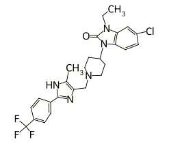 CCn1c(=O)n(C2CCN(Cc3nc(-c4ccc(C(F)(F)F)cc4)[nH]c3C)CC2)c2ccc(Cl)cc21